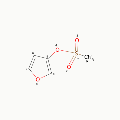 CS(=O)(=O)Oc1ccoc1